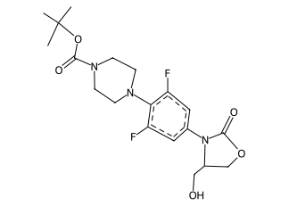 CC(C)(C)OC(=O)N1CCN(c2c(F)cc(N3C(=O)OCC3CO)cc2F)CC1